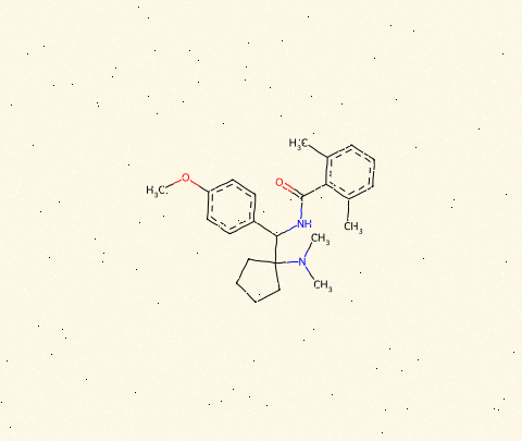 COc1ccc(C(NC(=O)c2c(C)cccc2C)C2(N(C)C)CCCC2)cc1